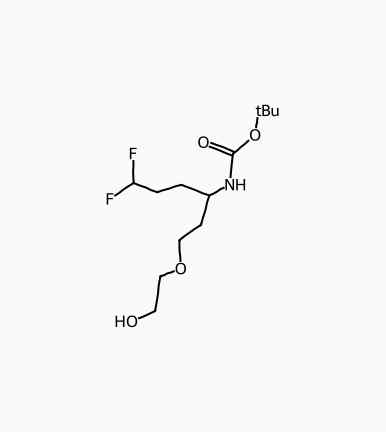 CC(C)(C)OC(=O)NC(CCOCCO)CCC(F)F